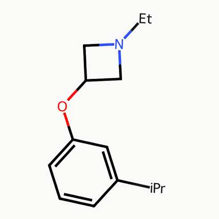 CCN1CC(Oc2cccc(C(C)C)c2)C1